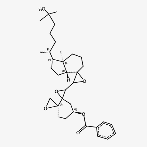 C[C@H](CCCC(C)(C)O)[C@H]1CC[C@H]2C3(CCC[C@]12C)OC3C1OC12C[C@@H](OC(=O)c1ccccc1)CC[C@]21CO1